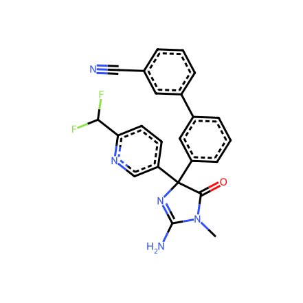 CN1C(=O)C(c2ccc(C(F)F)nc2)(c2cccc(-c3cccc(C#N)c3)c2)N=C1N